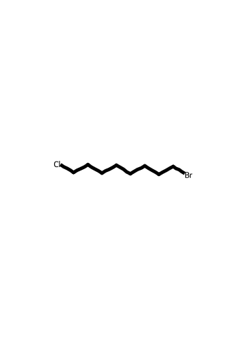 ClCCCCCCCCBr